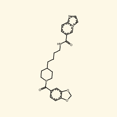 O=C(NCCCCC1CCN(C(=O)c2ccc3c(c2)OCO3)CC1)c1ccc2nccn2c1